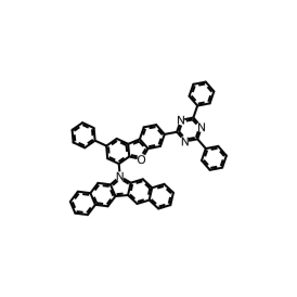 c1ccc(-c2cc(-n3c4cc5ccccc5cc4c4cc5ccccc5cc43)c3oc4cc(-c5nc(-c6ccccc6)nc(-c6ccccc6)n5)ccc4c3c2)cc1